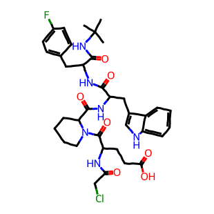 CC(C)(C)NC(=O)C(Cc1ccc(F)cc1)NC(=O)C(Cc1c[nH]c2ccccc12)NC(=O)C1CCCCN1C(=O)C(CCC(=O)O)NC(=O)CCl